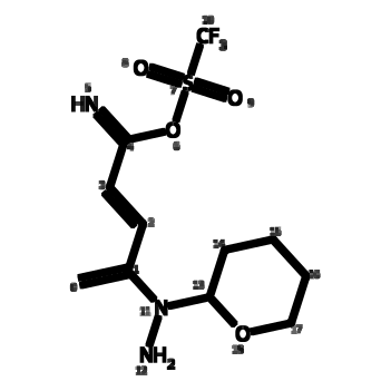 C=C(/C=C/C(=N)OS(=O)(=O)C(F)(F)F)N(N)C1CCCCO1